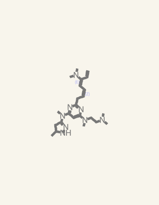 C=C/C(=C\C=C/Cc1nc(N(C)CCN(C)C)cc(N(C)C2=NNC(C)C2)n1)N(C)C